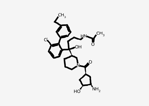 CCc1cccc(-c2c(Cl)cccc2C(O)(CCCNC(C)=O)[C@@H]2CCCN(C(=O)[C@H]3C[C@@H](N)[C@@H](O)C3)C2)c1